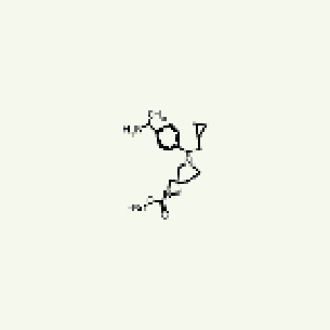 C[C@H](N)c1ccc(C(CC2CC2)N2CCC3(CN(C(=O)OC(C)(C)C)C3)C2)cc1